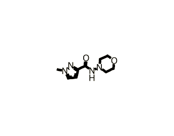 Cn1ccc(C(=O)NN2CCOCC2)n1